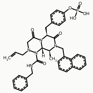 C=CCN1CC(=O)N2[C@@H](Cc3ccc(OP(=O)(O)O)cc3)C(=O)N(Cc3cccc4ccccc34)[C@@H](C)[C@@H]2N1C(=O)NCc1ccccc1